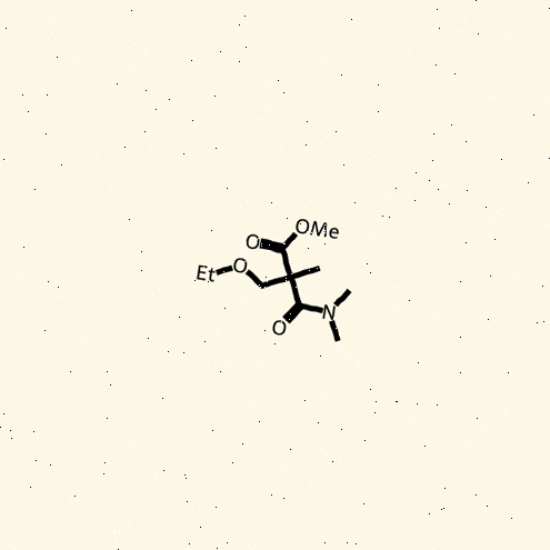 CCOCC(C)(C(=O)OC)C(=O)N(C)C